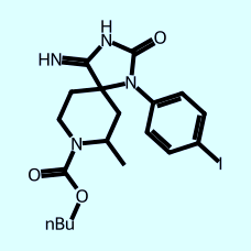 CCCCOC(=O)N1CCC2(CC1C)C(=N)NC(=O)N2c1ccc(I)cc1